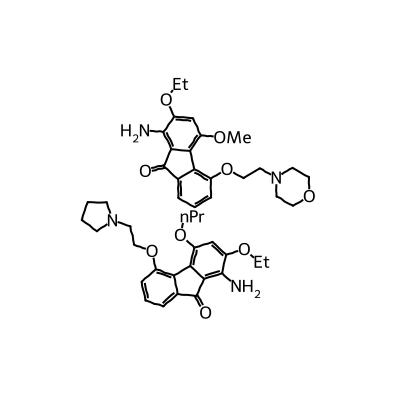 CCCOc1cc(OCC)c(N)c2c1-c1c(OCCN3CCCC3)cccc1C2=O.CCOc1cc(OC)c2c(c1N)C(=O)c1cccc(OCCN3CCOCC3)c1-2